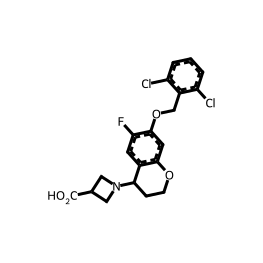 O=C(O)C1CN(C2CCOc3cc(OCc4c(Cl)cccc4Cl)c(F)cc32)C1